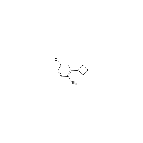 Nc1ccc(Cl)cc1C1CCC1